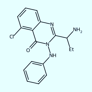 CCC(N)c1nc2cccc(Cl)c2c(=O)n1Nc1ccccc1